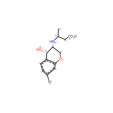 CCc1ccc2c(c1)OC[C@@H](NC(C)CC(=O)O)[C@H]2O